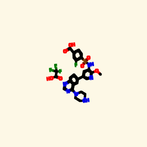 COc1ncc(-c2ccc3ncnc(N4CCNCC4)c3c2)cc1NS(=O)(=O)c1ccc(C(=O)O)cc1F.O=C(O)C(F)(F)F